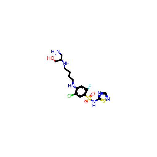 NCC(CO)NCCCCNc1cc(F)c(S(=O)(=O)Nc2ncns2)cc1Cl